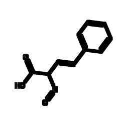 O=NC(/C=C/c1ccccc1)C(=O)O